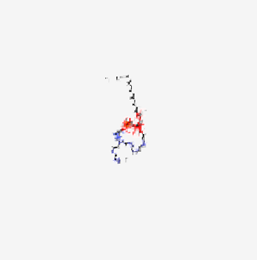 CC/C=C\C/C=C\C/C=C\C/C=C\C/C=C\C/C=C\CCC(=O)O[C@H](COC(=O)CCCCCCCCCCCCCCCCCCCC)COP(=O)(O)OCC[N+](C)(C)C